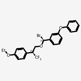 CCOc1ccc([C@@H](CO[C@@H](Br)c2cccc(Oc3ccccc3)c2)C(F)(F)F)cc1